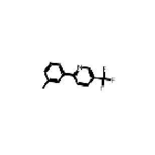 [CH2]c1cccc(-c2ccc(C(F)(F)F)cn2)c1